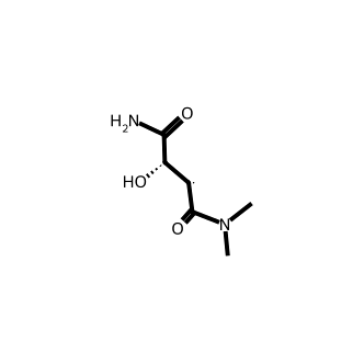 CN(C)C(=O)[CH][C@H](O)C(N)=O